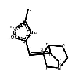 Cc1noc(C=C2CN3CCC2CC3)n1